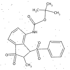 CC1C(S(=O)(=O)c2ccccc2)c2c(NC(=O)OC(C)(C)C)cccc2S1(=O)=O